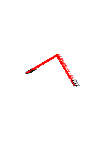 [Fe+2].[Fe+2].[Fe+2].[Fe+2].[Fe+2].[Fe+2].[Fe+2].[Fe+2].[Fe+2].[Fe+2].[Fe+2].[Fe+2].[Fe+2].[Fe+2].[Fe+2].[Fe+2].[Fe+2].[Fe+2].[Fe+2].[Fe+2].[O-2].[O-2].[O-2].[O-2].[O-2].[O-2].[O-2].[O-2].[O-2].[O-2].[O-2].[O-2].[O-2].[O-2].[O-2].[O-2].[O-2].[O-2].[O-2].[O-2].[O-2].[O-2].[O-2].[O-2].[O-2].[O-2].[O-2].[O-2].[O-2].[O-2].[O-2].[O-2].[O-2].[O-2].[O-2].[O-2].[O-2].[O-2].[O-2].[O-2].[O-2].[O-2].[O-2].[O-2].[O-2].[O-2].[O-2].[O-2].[O-2].[O-2].[O-2].[O-2].[O-2].[O-2].[O-2].[O-2].[O-2].[O-2].[O-2].[O-2].[O-2].[O-2].[O-2].[O-2].[O-2].[O-2].[O-2].[O-2].[O-2].[O-2].[O-2].[O-2].[O-2].[O-2].[O-2]